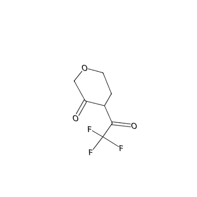 O=C1COCCC1C(=O)C(F)(F)F